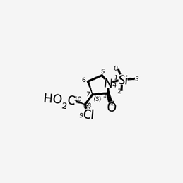 C[Si](C)(C)N1CC[C@H]([C@@H](Cl)C(=O)O)C1=O